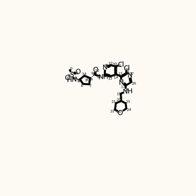 CS(=O)(=O)N[C@H]1CC[C@@H](C(=O)Nc2cc(-c3nc(NCC4CCOCC4)cnc3Cl)c(Cl)cn2)C1